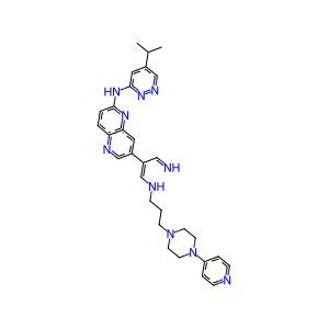 CC(C)c1cnnc(Nc2ccc3ncc(/C(C=N)=C/NCCCN4CCN(c5ccncc5)CC4)cc3n2)c1